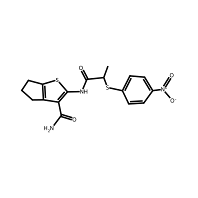 CC(Sc1ccc([N+](=O)[O-])cc1)C(=O)Nc1sc2c(c1C(N)=O)CCC2